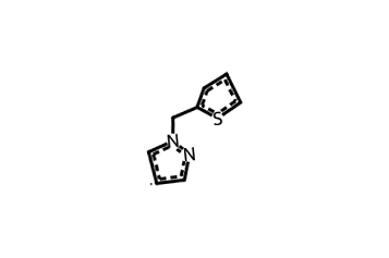 [c]1cnn(Cc2cccs2)c1